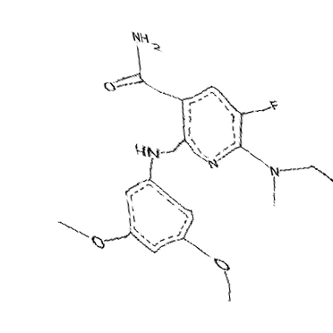 CCN(C)c1nc(Nc2cc(OC)cc(OC)c2)c(C(N)=O)cc1F